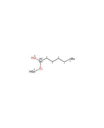 CCCCCCC[CH2][SnH]([OH])[O][SnH]